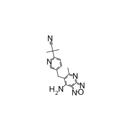 Cc1nc2nonc2c(N)c1Cc1ccc(C(C)(C)C#N)nc1